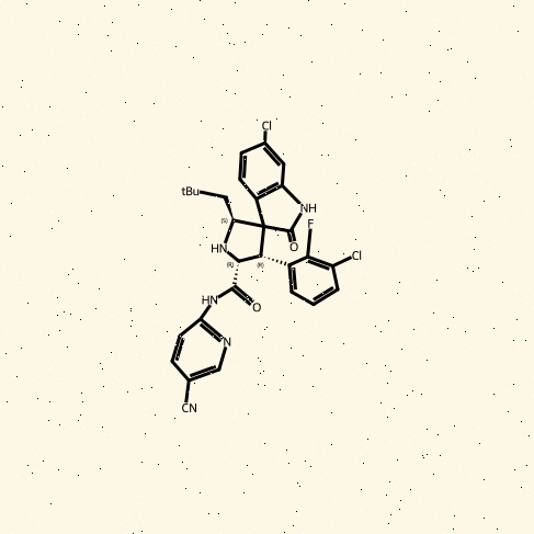 CC(C)(C)C[C@@H]1N[C@@H](C(=O)Nc2ccc(C#N)cn2)[C@@H](c2cccc(Cl)c2F)C12C(=O)Nc1cc(Cl)ccc12